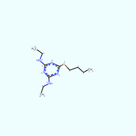 CCCCSc1nc(NCC)nc(NCC)n1